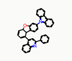 C1=CC2Oc3cc(-n4c5ccccc5c5ccccc54)ccc3C2C(c2cc(-c3ccccc3)nc3ccccc23)=C1